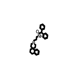 O=C(NCCCN1CCC2(CCCc3ccccc32)CC1)C(c1ccccc1)c1ccccc1